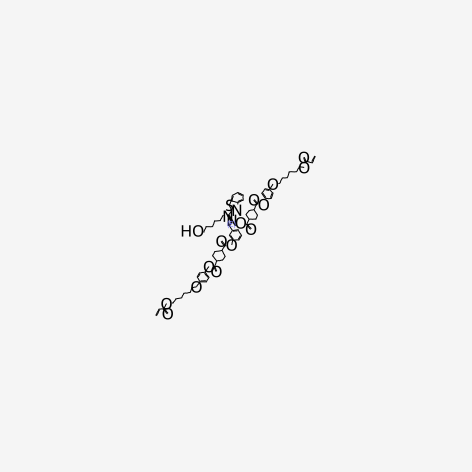 C=CC(=O)OCCCCCCOc1ccc(OC(=O)C2CCC(C(=O)Oc3ccc(OC(=O)C4CCC(C(=O)Oc5ccc(OCCCCCCOC(=O)C=C)cc5)CC4)c(/C=N/N(CCCCCCO)c4nc5ccccc5s4)c3)CC2)cc1